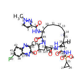 Cn1ccc(C(=O)N[C@H]2CCCCC/C=C\[C@@H]3C[C@@]3(C(=O)NS(=O)(=O)C3CC3)NC(=O)[C@@H]3C[C@@H](Oc4nc5cc(F)ccc5nc4C(F)(F)F)CN3C2=O)n1